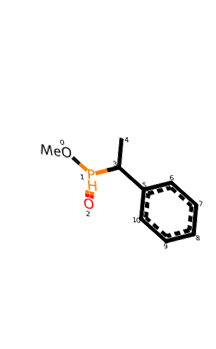 CO[PH](=O)C(C)c1ccccc1